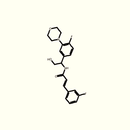 O=C(C=Cc1cccc(F)c1)NC(CO)c1ccc(F)c(N2CCOCC2)c1